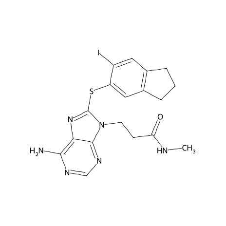 CNC(=O)CCn1c(Sc2cc3c(cc2I)CCC3)nc2c(N)ncnc21